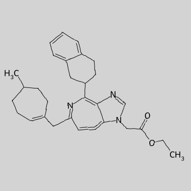 CCOC(=O)Cn1cnc2c1=C=CC(CC1=CCCC(C)CC1)=NC=2C1CCc2ccccc2C1